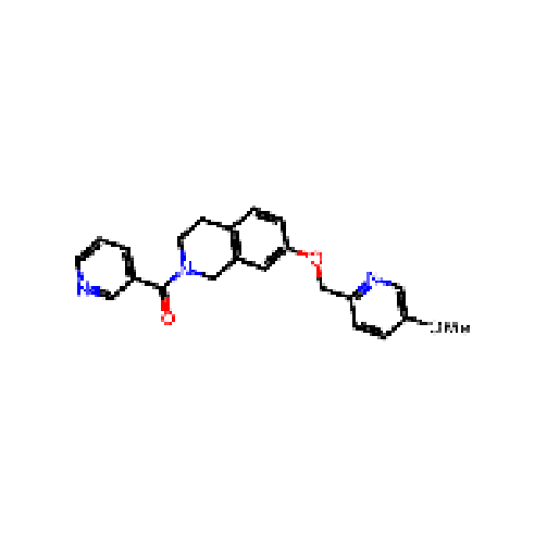 COc1ccc(COc2ccc3c(c2)CN(C(=O)c2cccnc2)CC3)nc1